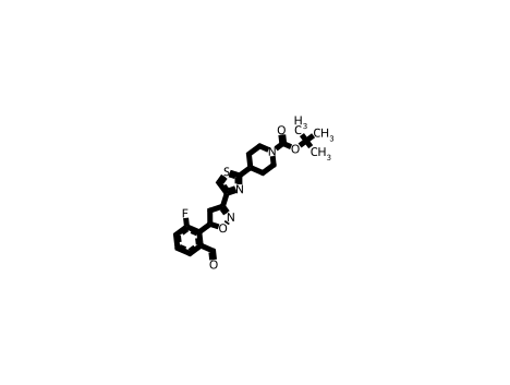 CC(C)(C)OC(=O)N1CCC(c2nc(C3=NOC(c4c(F)cccc4C=O)C3)cs2)CC1